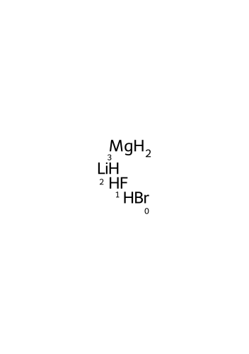 Br.F.[LiH].[MgH2]